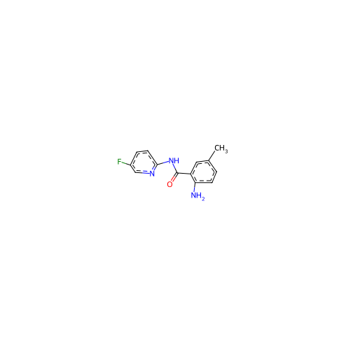 Cc1ccc(N)c(C(=O)Nc2ccc(F)cn2)c1